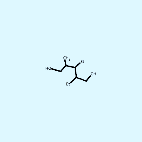 CCC(CO)C(CC)C(C)CO